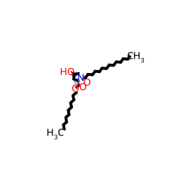 CCCCCCCCCCCCCC(=O)N1C[C@H](O)C[C@H]1C(=O)OCCCCCCCCCCCC